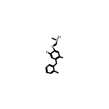 CCN(C)C=Nc1cc(C)c(Cc2ccccc2C)cc1F